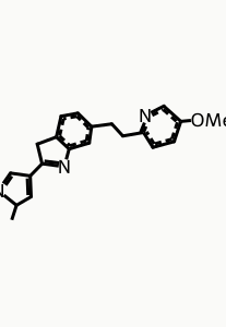 COc1ccc(CCc2ccc3c(c2)N=C(C2=CC(C)N=C2)C3)nc1